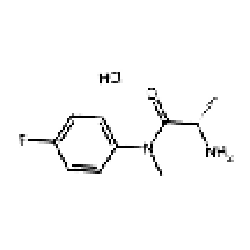 C[C@H](N)C(=O)N(C)c1ccc(F)cc1.Cl